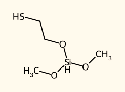 CO[SiH](OC)OCCS